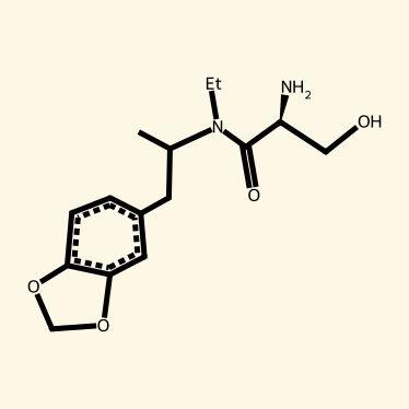 CCN(C(=O)[C@@H](N)CO)C(C)Cc1ccc2c(c1)OCO2